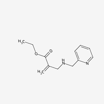 C=C(CNCc1ccccn1)C(=O)OCC